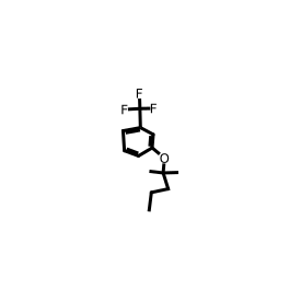 CCCC(C)(C)Oc1cccc(C(F)(F)F)c1